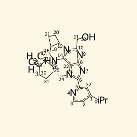 CC(C)c1ccnc(-c2nc3nc(CO)nc(N[C@H](C)C4CCC4)c3n2C[C@H]2CC[C@H](C)CC2)c1